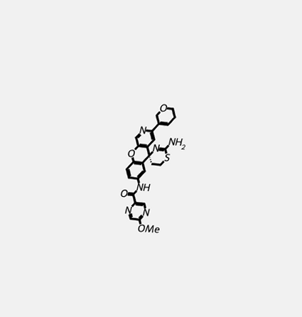 COc1cnc(C(=O)Nc2ccc3c(c2)[C@@]2(CCSC(N)=N2)c2cc(C4=CCCOC4)ncc2O3)cn1